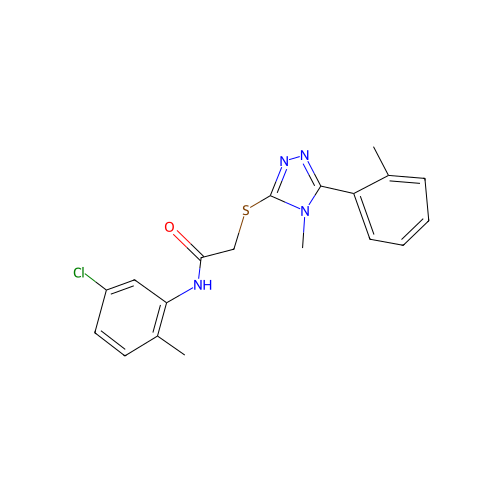 Cc1ccc(Cl)cc1NC(=O)CSc1nnc(-c2ccccc2C)n1C